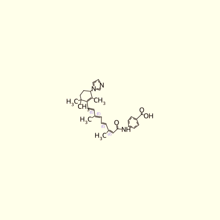 CC1=C(/C=C/C(C)=C/C=C/C(C)=C\C(=O)Nc2ccc(C(=O)O)cc2)C(C)(C)CCC1n1ccnc1